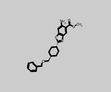 COC(=O)c1cc2nc([C@H]3CC[C@H](COCc4ccccc4)CC3)sc2cc1N